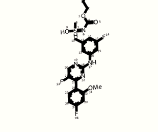 COCCOC(=O)N=[SH](C)(O)Cc1cc(F)cc(Nc2ncc(F)c(-c3ccc(F)cc3OC)n2)c1